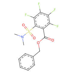 CN(C)S(=O)(=O)c1c(F)c(F)c(F)c(F)c1C(=O)OCc1ccccc1